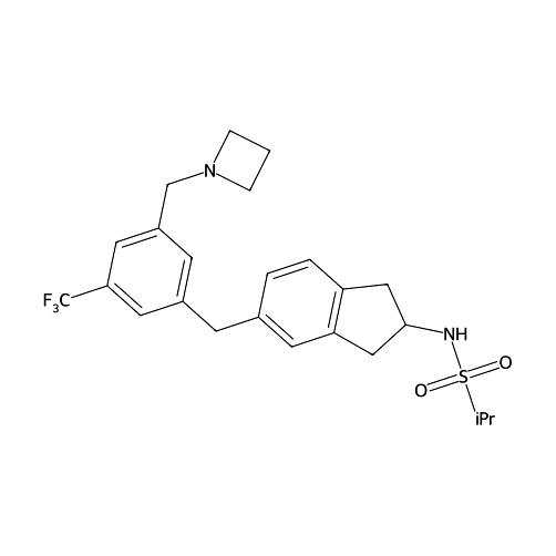 CC(C)S(=O)(=O)NC1Cc2ccc(Cc3cc(CN4CCC4)cc(C(F)(F)F)c3)cc2C1